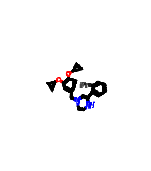 CC(C)c1ccccc1C1CN(Cc2ccc(OC3CC3)c(OC3CC3)c2)CCN1